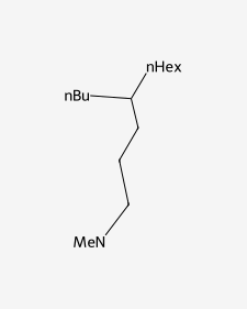 CCCCCCC(CCCC)CCCNC